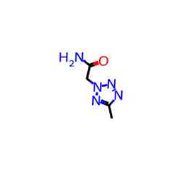 Cc1nnn(CC(N)=O)n1